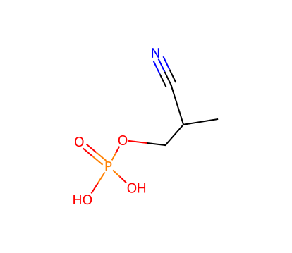 CC(C#N)COP(=O)(O)O